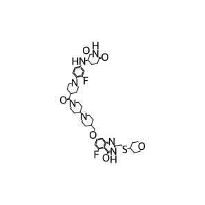 O=C1CCC(Nc2ccc(N3CCC(C(=O)N4CCC(N5CCC(COc6cc(F)c7c(=O)[nH]c(CSC8CCOCC8)nc7c6)CC5)CC4)CC3)c(F)c2)C(=O)N1